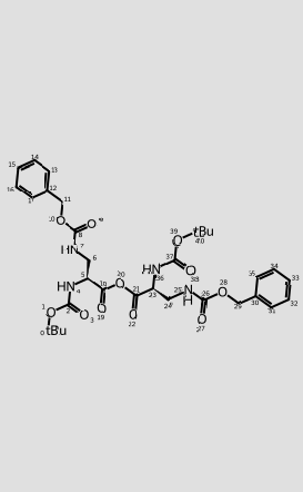 CC(C)(C)OC(=O)N[C@@H](CNC(=O)OCc1ccccc1)C(=O)OC(=O)[C@H](CNC(=O)OCc1ccccc1)NC(=O)OC(C)(C)C